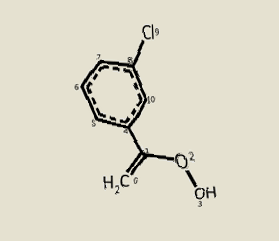 C=C(OO)c1cccc(Cl)c1